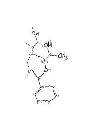 CC(O)[C@@H]1OC(c2ccccc2)OCC1OCO